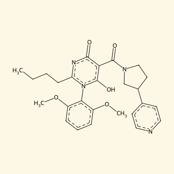 CCCCc1nc(=O)c(C(=O)N2CCC(c3ccncc3)C2)c(O)n1-c1c(OC)cccc1OC